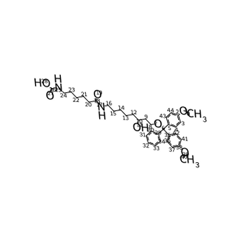 COc1ccc(C(OCCC(O)CCCCCNC(=O)CCCCCNC(=O)O)(c2ccccc2)c2ccc(OC)cc2)cc1